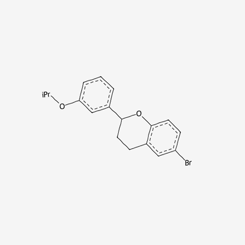 CC(C)Oc1cccc(C2CCc3cc(Br)ccc3O2)c1